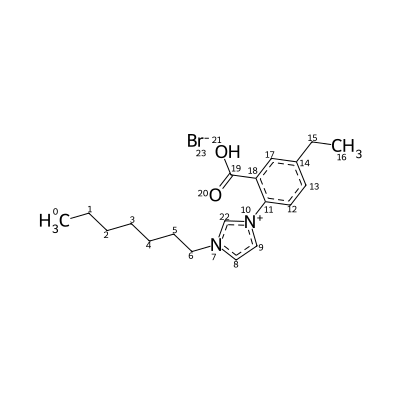 CCCCCCCn1cc[n+](-c2ccc(CC)cc2C(=O)O)c1.[Br-]